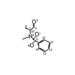 C[C@@H](C=O)N(C)S(=O)(=O)c1ccccc1